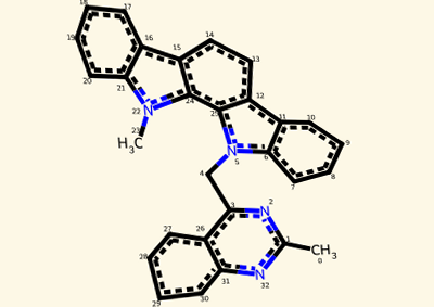 Cc1nc(Cn2c3ccccc3c3ccc4c5ccccc5n(C)c4c32)c2ccccc2n1